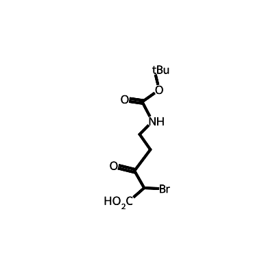 CC(C)(C)OC(=O)NCCC(=O)C(Br)C(=O)O